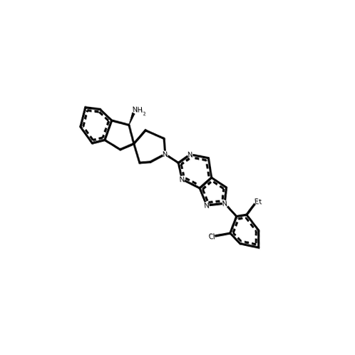 CCc1cccc(Cl)c1-n1cc2cnc(N3CCC4(CC3)Cc3ccccc3[C@H]4N)nc2n1